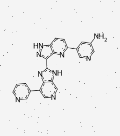 Nc1cncc(-c2ccc3[nH]nc(-c4nc5c(-c6cccnc6)cncc5[nH]4)c3n2)c1